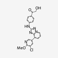 COc1ncc(-c2cccn3nc(Nc4ccc(C(=O)CO)cc4)nc23)cc1Cl